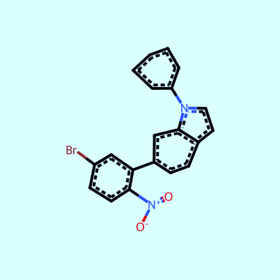 O=[N+]([O-])c1ccc(Br)cc1-c1ccc2ccn(-c3ccccc3)c2c1